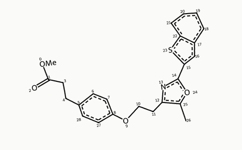 COC(=O)CCc1ccc(OCCc2nc(-c3cc4ccccc4s3)oc2C)cc1